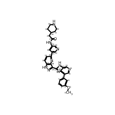 COc1cccc(-c2cncc3[nH]c(-c4n[nH]c5ccc(-c6cncc(NC(=O)CC7CCNCC7)c6)nc45)nc23)c1